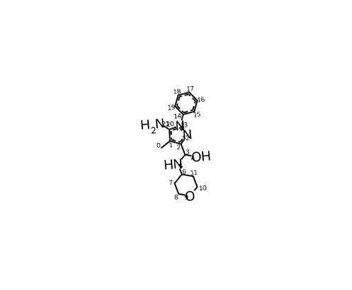 Cc1c(C(O)NC2CCOCC2)nn(-c2ccccc2)c1N